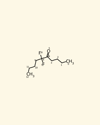 CCCCC(=O)C(F)(F)CCCC